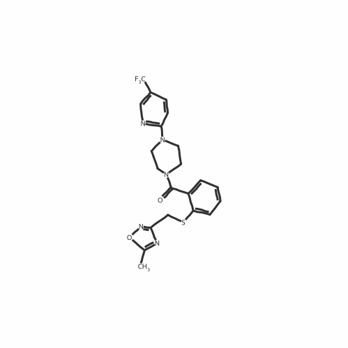 Cc1nc(CSc2ccccc2C(=O)N2CCN(c3ccc(C(F)(F)F)cn3)CC2)no1